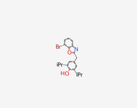 CC(C)c1cc(Cc2nc3cccc(Br)c3o2)cc(C(C)C)c1O